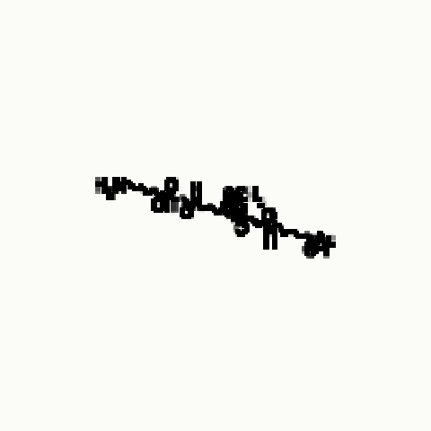 CC(=O)N(O)CCCCCNC(=O)CCC(=O)N(CCCCCNC(=O)CCC(=O)N(O)CCCCCN)OS(C)(=O)=O